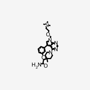 CC1(CC(N)=O)CCN(c2ncnc3c2c(-c2cccc(Cl)c2)cn3COCC[Si](C)(C)C)CC1